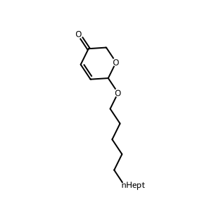 CCCCCCCCCCCCOC1C=CC(=O)CO1